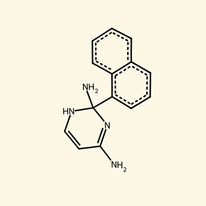 NC1=NC(N)(c2cccc3ccccc23)NC=C1